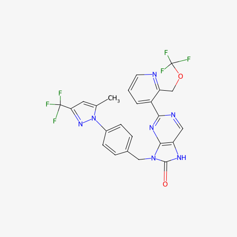 Cc1cc(C(F)(F)F)nn1-c1ccc(Cn2c(=O)[nH]c3cnc(-c4cccnc4COC(F)(F)F)nc32)cc1